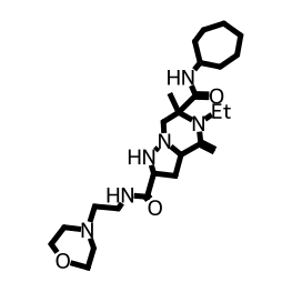 C=C1C2CC(C(=O)NCCN3CCOCC3)NN2CC(C)(C(=O)NC2CCCCCC2)N1CC